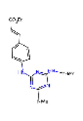 CCCCCCNc1nc(NC)nc(Nc2ccc(/C=C/C(=O)OCC)cc2)n1